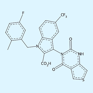 Cc1ccc(F)cc1Cn1c(C(=O)O)c(-n2c(=O)[nH]c3cscc3c2=O)c2cc(C(F)(F)F)ccc21